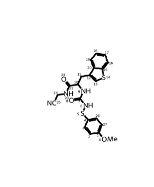 COc1ccc(SNC(=O)NC(Cc2csc3ccccc23)C(=O)NCC#N)cc1